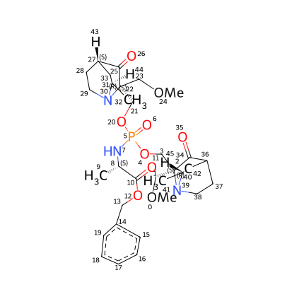 COC[C@]1(COP(=O)(N[C@@H](C)C(=O)OCc2ccccc2)OC[C@@]2(COC)C(=O)[C@H]3CCN2[C@H](C)C3)C(=O)C2CCN1[C@H](C)C2